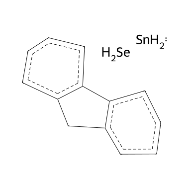 [SeH2].[SnH2].c1ccc2c(c1)Cc1ccccc1-2